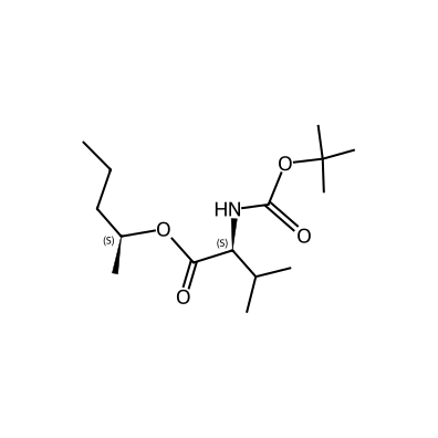 CCC[C@H](C)OC(=O)[C@@H](NC(=O)OC(C)(C)C)C(C)C